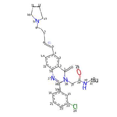 C=C1c2cc(/C=C/CCN3CCCC3)ccc2N=C(c2cccc(Cl)c2)N1CC(=O)NC(C)(C)C